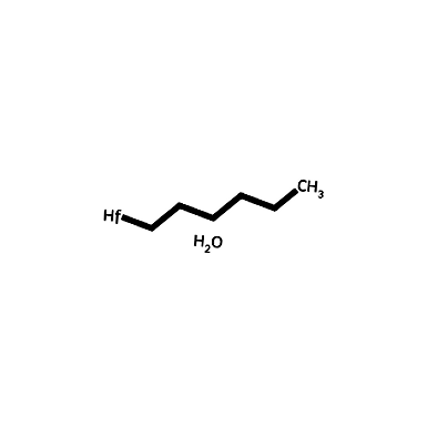 CCCCC[CH2][Hf].O